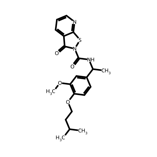 COc1cc(C(C)NC(=O)n2sc3ncccc3c2=O)ccc1OCCC(C)C